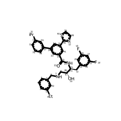 CCc1cccc(CNC[C@@H](O)[C@H](Cc2cc(F)cc(F)c2)NC(=O)c2cc(-c3cccc(C(C)C)c3)cc(-c3nccs3)c2)c1